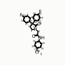 O=C(CN1CCC(c2ccc(F)cc2)(c2ccc(F)cc2)C1=O)Nc1ccc(C(F)(F)F)cc1